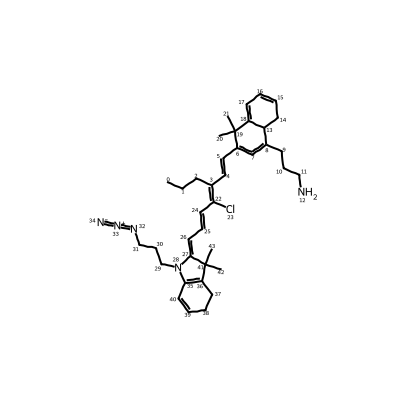 CCCC(/C=C/C1=C=C(CCCN)C2CC=CC=C2C1(C)C)=C(Cl)\C=C\C=C1\N(CCCN=[N+]=[N-])C2=C(CCC=C2)C1(C)C